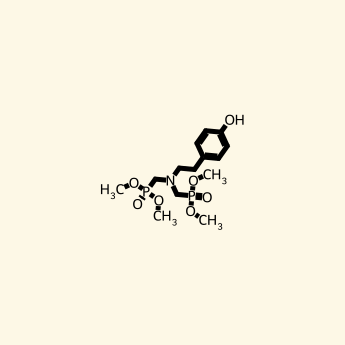 COP(=O)(CN(CCc1ccc(O)cc1)CP(=O)(OC)OC)OC